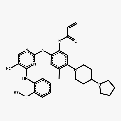 C=CC(=O)Nc1cc(N2CCC(N3CCCC3)CC2)c(C)cc1Nc1ncc(C#N)c(Nc2ccccc2OC(C)C)n1